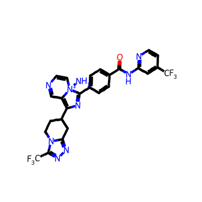 N[N+]12C=CN=CC1=C(C1CCn3c(nnc3C(F)(F)F)C1)N=C2c1ccc(C(=O)Nc2cc(C(F)(F)F)ccn2)cc1